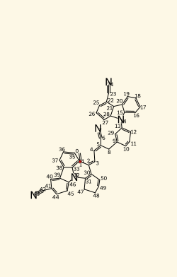 C=C/C(=C\C=C(\C#N)Cc1cccc(N2c3ccccc3C3C(C#N)=CC=CC32)c1)C1=C(n2c3ccccc3c3cc(C#N)ccc32)CCC=C1